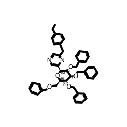 CCc1ccc(Cc2cncc([C@@H]3O[C@H](COCc4ccccc4)[C@@H](OCc4ccccc4)[C@H](OCc4ccccc4)[C@H]3OCc3ccccc3)n2)cc1